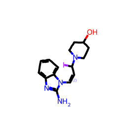 Nc1nc2ccccc2n1/C=C\C(I)N1CCC(O)CC1